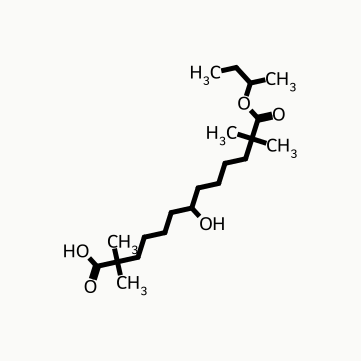 CCC(C)OC(=O)C(C)(C)CCCCC(O)CCCCC(C)(C)C(=O)O